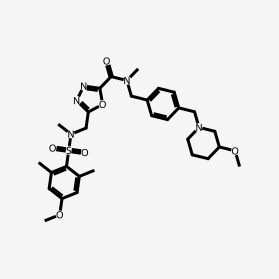 COc1cc(C)c(S(=O)(=O)N(C)Cc2nnc(C(=O)N(C)Cc3ccc(CN4CCCC(OC)C4)cc3)o2)c(C)c1